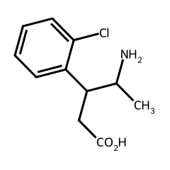 CC(N)C(CC(=O)O)c1ccccc1Cl